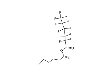 CCCCCC(=O)OC(=O)C(F)(F)C(F)(F)C(F)(F)C(F)(F)C(F)(F)F